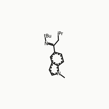 CC(C)CC(=NC(C)(C)C)c1ccc2c(ccn2C)c1